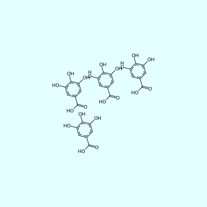 O=C(O)c1cc(O)c(O)c(O)c1.O=C(O)c1cc(O)c(O)c(O)c1.O=C(O)c1cc(O)c(O)c(O)c1.O=C(O)c1cc(O)c(O)c(O)c1